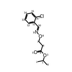 CC(C)OC(=O)CCO/N=C/c1c[c]ccc1Cl